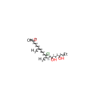 CC/C=C/[C@@H](O)CCC[C@@H](O)CC[C@H](C)/C(Cl)=C/C=C/C=C(C)/C=C/C=C/C(=O)N=O